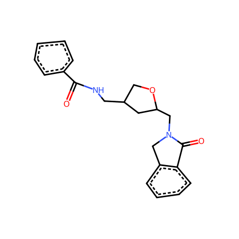 O=C(NCC1COC(CN2Cc3ccccc3C2=O)C1)c1ccccc1